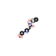 COC(=O)[C@H](Cc1ccccc1)N1C(=O)/C(=C/c2ccc(-c3ccc4c(c3)OCO4)nc2)SC1=S